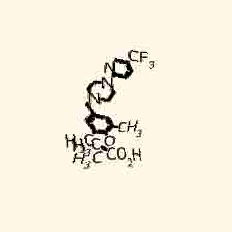 Cc1cc(CN2CCN(c3ccc(C(F)(F)F)cn3)CC2)cc(C)c1OC(C)(C)C(=O)O